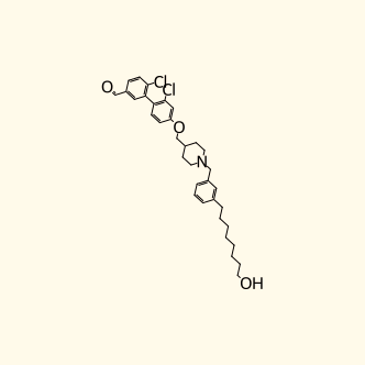 O=Cc1ccc(Cl)c(-c2ccc(OCC3CCN(Cc4cccc(CCCCCCCCO)c4)CC3)cc2Cl)c1